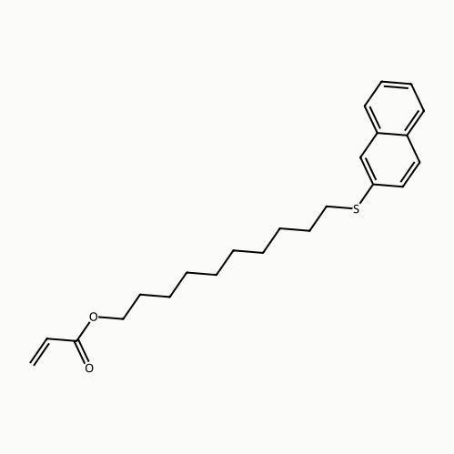 C=CC(=O)OCCCCCCCCCCSc1ccc2ccccc2c1